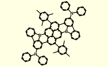 Cc1cc(C)c(-c2cc3c4c(cc5c(-c6c(C)cc(C)cc6C)cc6c7c(cc2c4c57)B2c4ccccc4-c4cc(N(c5ccccc5)c5ccccc5)cc-6c42)B2c4ccccc4-c4cc(N(c5ccccc5)c5ccccc5)cc-3c42)c(C)c1